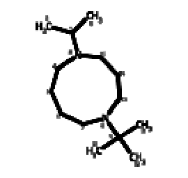 CC(C)N1CCCCN(C(C)(C)C)CCC1